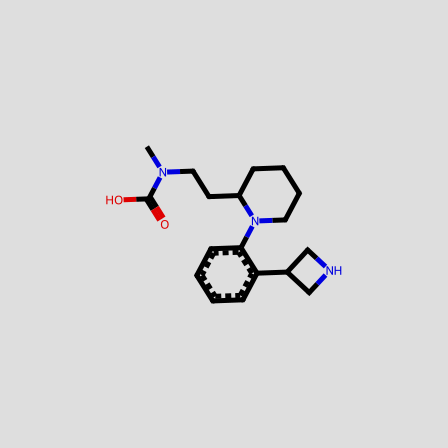 CN(CCC1CCCCN1c1ccccc1C1CNC1)C(=O)O